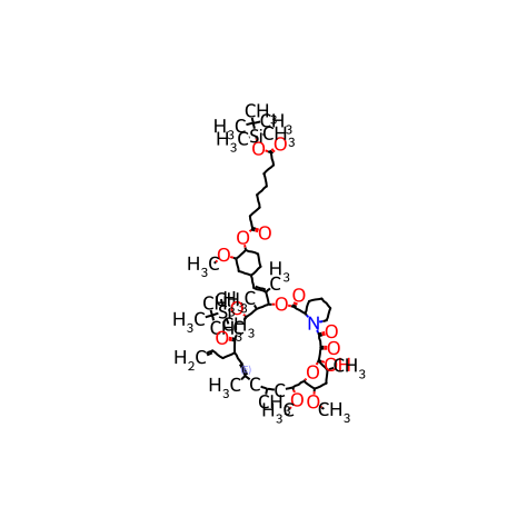 C=CCC1/C=C(\C)CC(C)CC(OC)C2OC(O)(C(=O)C(=O)N3CCCCC3C(=O)OC(C(C)=CC3CCC(OC(=O)CCCCCCC(=O)O[Si](C)(C)C(C)(C)C)C(OC)C3)C(C)C(O[Si](C)(C)C(C)(C)C)CC1=O)C(C)CC2OC